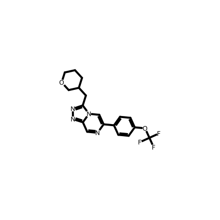 FC(F)(F)Oc1ccc(-c2cn3c(CC4CCCOC4)nnc3cn2)cc1